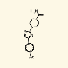 C=C(N)C1CCN(c2nc(-c3ccc(C(C)=O)cc3)cs2)CC1